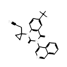 N#CCC1(n2c(=O)n(-c3cncc4ccccc34)c(=O)c3cc(C(F)(F)F)ccc32)CC1